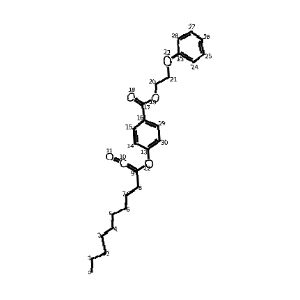 CCCCCCCCCC(=C=O)Oc1ccc(C(=O)OCCOc2ccccc2)cc1